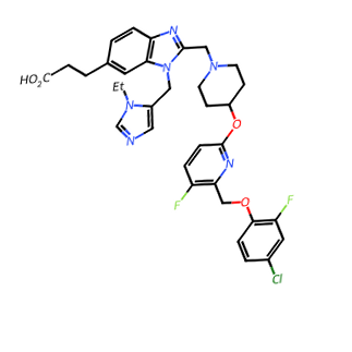 CCn1cncc1Cn1c(CN2CCC(Oc3ccc(F)c(COc4ccc(Cl)cc4F)n3)CC2)nc2ccc(CCC(=O)O)cc21